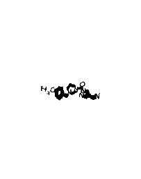 Cc1ccc(CN2CCCN(C(=O)n3cc(C#N)cn3)CC2)cc1